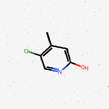 Cc1cc(O)ncc1Cl